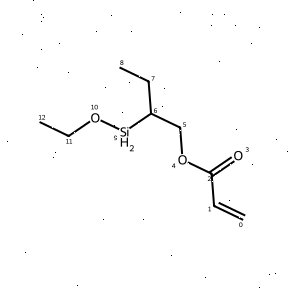 C=CC(=O)OCC(CC)[SiH2]OCC